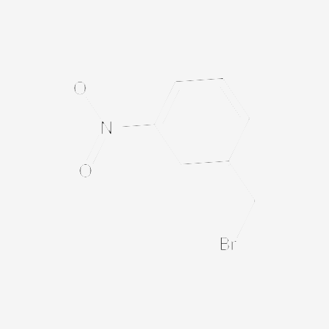 O=[N+]([O-])C1=CC=C[C](CBr)C1